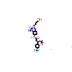 CC1(C)C/C(=C\C(=O)Nc2ccc3c(c2)NC(=O)N(CCCCO)C3)c2ccc(C(F)(F)F)cc2O1